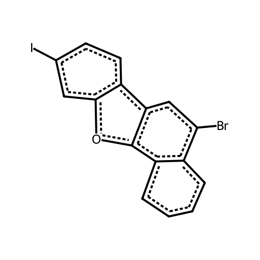 Brc1cc2c3ccc(I)cc3oc2c2ccccc12